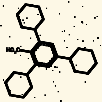 O=C(O)c1c(C2CCCCC2)cc(C2CCCCC2)cc1C1CCCCC1